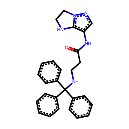 O=C(CCNC(c1ccccc1)(c1ccccc1)c1ccccc1)Nc1cnn2c1NCC2